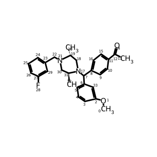 COc1cccc(C(c2ccc(C(C)=O)cc2)N2C[C@@H](C)N(Cc3cccc(F)c3)C[C@@H]2C)c1